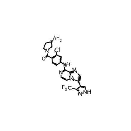 N[C@@H]1CCN(C(=O)c2ccc(Nc3nccn4c(-c5c[nH]nc5C(F)(F)F)cnc34)cc2Cl)C1